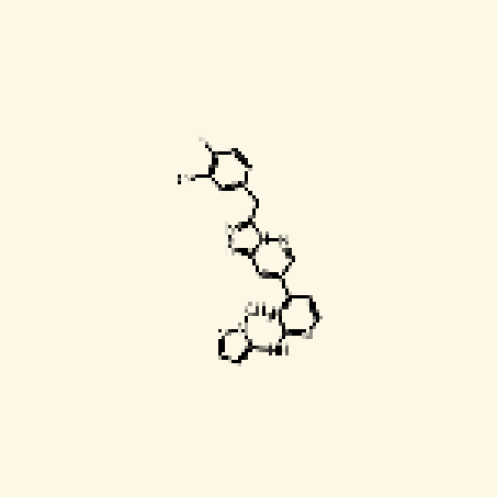 Cn1nccc1Nc1nccc(-c2cnn3c(Cc4ccc(F)c(Cl)c4)nnc3c2)n1